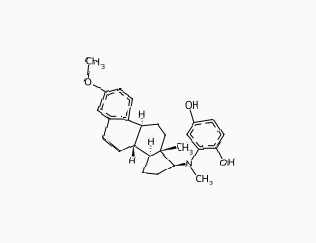 COc1ccc2c(c1)CC[C@@H]1[C@@H]2CC[C@]2(C)[C@@H](N(C)c3cc(O)ccc3O)CC[C@@H]12